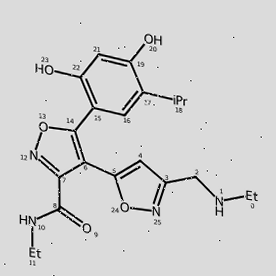 CCNCc1cc(-c2c(C(=O)NCC)noc2-c2cc(C(C)C)c(O)cc2O)on1